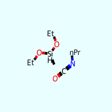 CCCN=C=O.CCO[SiH](C)OCC